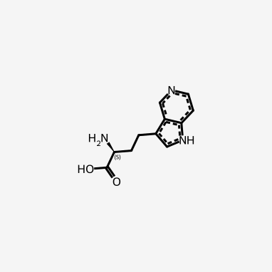 N[C@@H](CCc1c[nH]c2ccncc12)C(=O)O